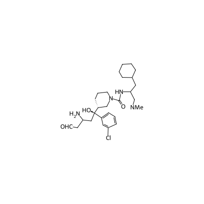 CNCC(CC1CCCCC1)NC(=O)N1CCC[C@@H]([C@@](O)(CC(N)CC=O)c2cccc(Cl)c2)C1